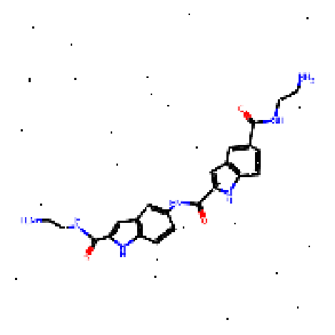 NCCNC(=O)c1ccc2[nH]c(C(=O)Nc3ccc4[nH]c(C(=O)NCCN)cc4c3)cc2c1